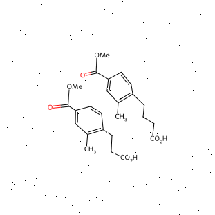 COC(=O)c1ccc(CCC(=O)O)c(C)c1.COC(=O)c1ccc(CCCC(=O)O)c(C)c1